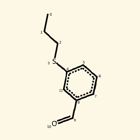 CCCSc1cccc(C=O)c1